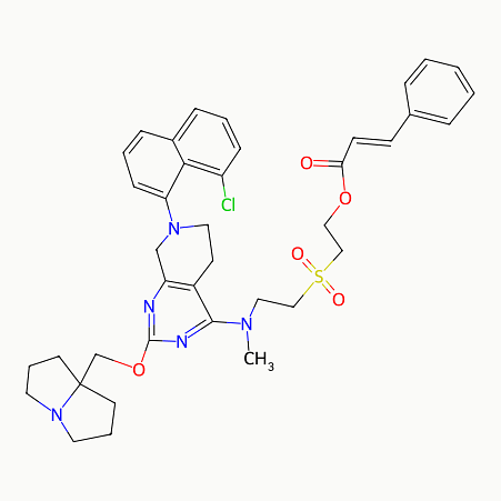 CN(CCS(=O)(=O)CCOC(=O)/C=C/c1ccccc1)c1nc(OCC23CCCN2CCC3)nc2c1CCN(c1cccc3cccc(Cl)c13)C2